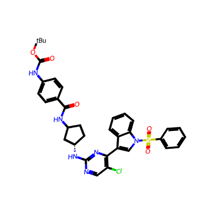 CC(C)(C)OC(=O)Nc1ccc(C(=O)NC2CC[C@H](Nc3ncc(Cl)c(-c4cn(S(=O)(=O)c5ccccc5)c5ccccc45)n3)C2)cc1